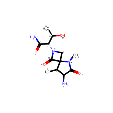 CC1C(N)C(=O)N(C)C12CN([C@H](C(N)=O)[C@@H](C)O)C2=O